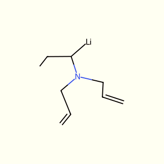 [Li][CH](CC)N(CC=C)CC=C